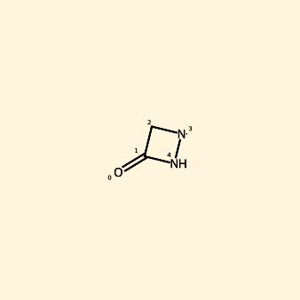 O=C1C[N]N1